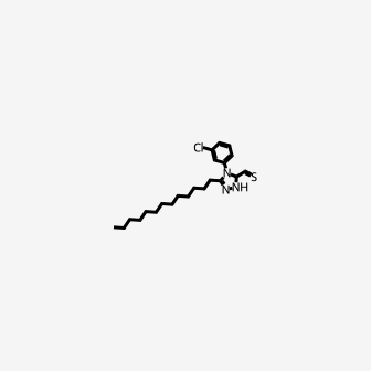 CCCCCCCCCCCCCC1=NNC(C=S)N1c1cccc(Cl)c1